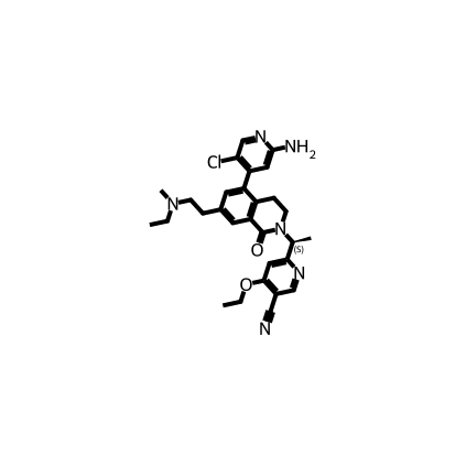 CCOc1cc([C@H](C)N2CCc3c(cc(CCN(C)CC)cc3-c3cc(N)ncc3Cl)C2=O)ncc1C#N